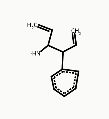 C=CC([NH])C(C=C)c1ccccc1